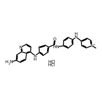 C[n+]1ccc(Nc2ccc(NC(=O)c3ccc(Nc4ccnc5cc(N)ccc45)cc3)cc2)cc1.Cl.Cl